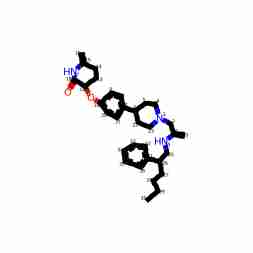 C=C(CN1CCC(c2ccc(OC3CCC(=C)NC3=O)cc2)CC1)NCC(CCCC)c1ccccc1